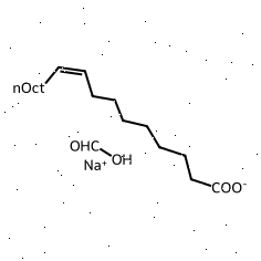 CCCCCCCC/C=C\CCCCCCCC(=O)[O-].O=CO.[Na+]